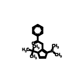 CN(C)C1=C(CC(=O)c2ccccc2)C(C(C)(C)C)C=C1